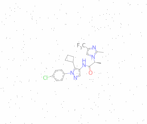 Cc1nc(C(F)(F)F)cn1[C@@H](C)C(=O)Nc1cnn(-c2ccc(Cl)cc2)c1C1CCC1